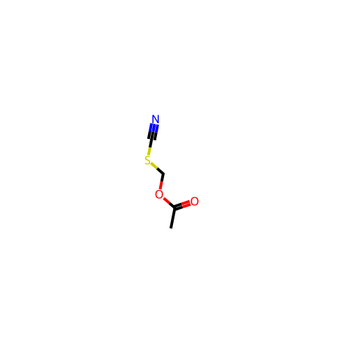 CC(=O)OCSC#N